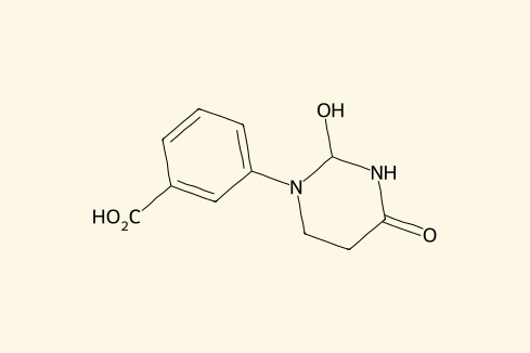 O=C1CCN(c2cccc(C(=O)O)c2)C(O)N1